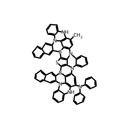 Cc1cc2c3c4c1Nc1ccccc1N4c1cc4ccccc4cc1B3c1sc3c4c1N2c1ccccc1N4c1cc(N(c2ccccc2)c2ccccc2)c2c4c1B3c1cc3ccccc3cc1N4c1ccccc1N2